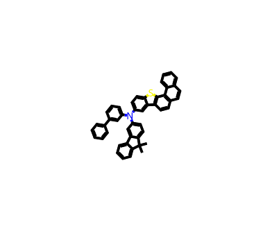 CC1(C)c2ccccc2-c2cc(N(c3cccc(-c4ccccc4)c3)c3ccc4sc5c(ccc6ccc7ccccc7c65)c4c3)ccc21